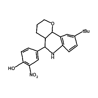 CC(C)(C)c1ccc2c(c1)C1OCCCC1C(c1ccc(O)c([N+](=O)[O-])c1)N2